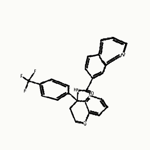 O=C(NC1(c2ccc(C(F)(F)F)cc2)CCOc2cccnc21)c1ccc2cccnc2c1